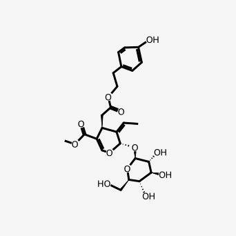 C/C=C1\[C@H](O[C@@H]2O[C@H](CO)[C@@H](O)[C@H](O)[C@H]2O)OC=C(C(=O)OC)[C@H]1CC(=O)OCCc1ccc(O)cc1